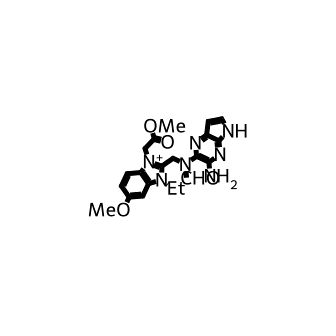 CCn1c(CN(C=O)c2nc3cc[nH]c3nc2N)[n+](CC(=O)OC)c2ccc(OC)cc21